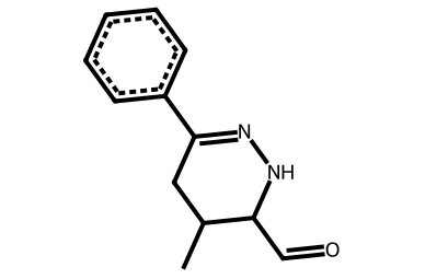 CC1CC(c2ccccc2)=NNC1C=O